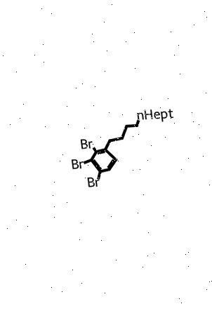 CCCCCCCCCCCc1ccc(Br)c(Br)c1Br